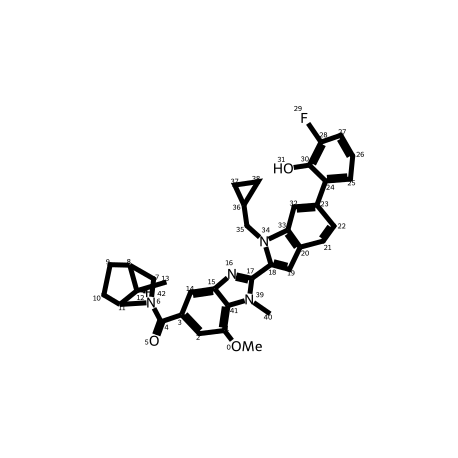 COc1cc(C(=O)N2CC3CCC2[C@@H]3C)cc2nc(-c3cc4ccc(-c5cccc(F)c5O)cc4n3CC3CC3)n(C)c12